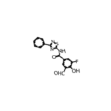 O=Cc1cc(C(=O)Nc2nc(-c3ccccc3)ns2)cc(F)c1O